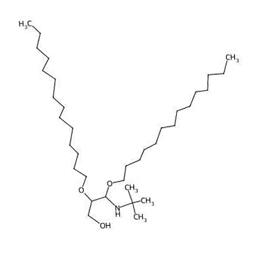 CCCCCCCCCCCCCCOC(CO)C(NC(C)(C)C)OCCCCCCCCCCCCCC